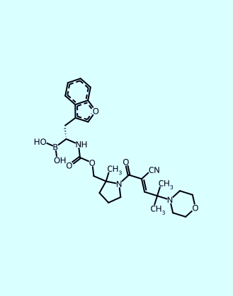 CC(C)(C=C(C#N)C(=O)N1CCCC1(C)COC(=O)N[C@@H](Cc1coc2ccccc12)B(O)O)N1CCOCC1